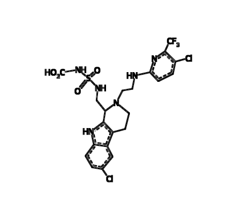 O=C(O)NS(=O)(=O)NCC1c2[nH]c3ccc(Cl)cc3c2CCN1CCNc1ccc(Cl)c(C(F)(F)F)n1